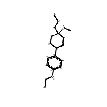 CCCC1(OC)CCC(c2ccc(OCC)cc2)CC1